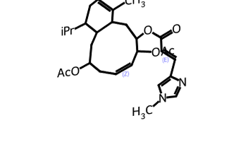 CC(=O)OC1C/C=C\C(OC(C)=O)C(OC(=O)/C=C/c2cn(C)cn2)CC2C(C)=CCC(C(C)C)C2C1